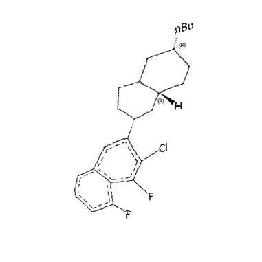 CCCC[C@@H]1CC[C@@H]2CC(c3cc4cccc(F)c4c(F)c3Cl)CCC2C1